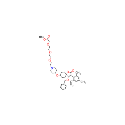 Cc1cc(C)c(C2=C(OCc3ccccc3)C3(CCC(OC4CCN(CCOCCOCCOCC(=O)OC(C)(C)C)CC4)CC3)OC2=O)c(C)c1